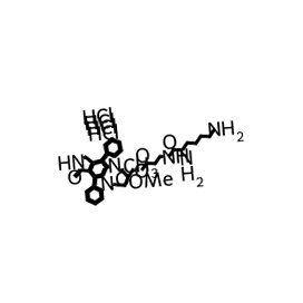 CO[C@]1(COC(=O)CCNC(=O)C(N)CCCCN)CC2O[C@]1(C)n1c3ccccc3c3c4c(c5c6ccccc6n2c5c31)C(=O)NC4.Cl.Cl.Cl.Cl